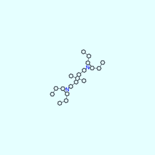 c1ccc(-c2cccc(-c3ccc4c(c3)c3cc(-c5cccc(-c6ccccc6)c5)ccc3n4-c3ccc(-c4ccc5c(-c6ccccc6)c6cc(-c7ccc(-n8c9ccc(-c%10cccc(-c%11ccccc%11)c%10)cc9c9cc(-c%10cccc(-c%11ccccc%11)c%10)ccc98)cc7)ccc6c(-c6ccccc6)c5c4)cc3)c2)cc1